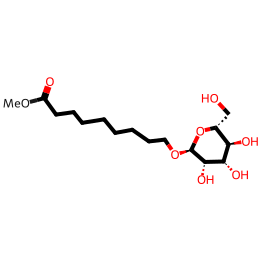 COC(=O)CCCCCCCCO[C@H]1O[C@H](CO)[C@@H](O)[C@H](O)[C@@H]1O